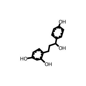 Oc1ccc(C(O)CCc2ccc(O)cc2O)cc1